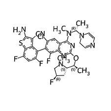 C[C@H](Oc1nc(N(C)[C@H](C)N2C=CN=CC2)c2cc(Cl)c(-c3c(F)cc(F)c4sc(N)c(C#N)c34)c(F)c2n1)[C@@H]1C[C@@H](F)CN1C